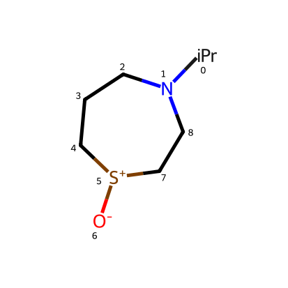 CC(C)N1CCC[S+]([O-])CC1